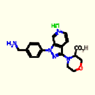 Cl.NCc1ccc(-n2nc(N3CCOCC3C(=O)O)c3ccncc32)cc1